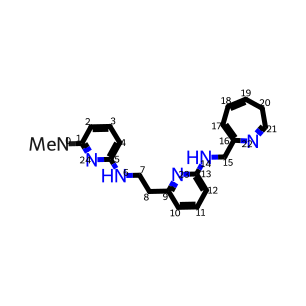 CNc1cccc(NCCc2cccc(NCC3=CC=CCC=N3)n2)n1